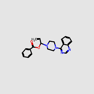 C=CC(OC(=O)c1ccccc1)N1CCN(c2ncnc3ccccc23)CC1